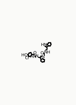 O=C(Cn1cc(/C=N/NC(=O)c2ccc(O)c(Cl)c2)c2ccccc21)NCCc1c[nH]c2ccccc12